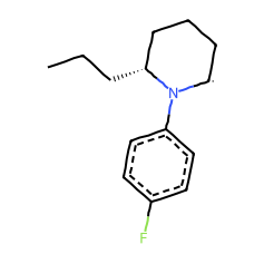 CCC[C@@H]1CCC[CH]N1c1ccc(F)cc1